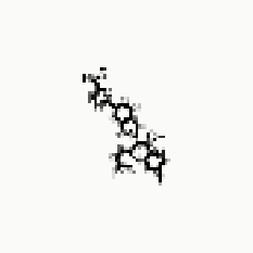 O[C@H](c1ccc(F)cn1)[C@H](c1ccc(F)cn1)N1Cc2ccc(-c3nnc(C(F)F)o3)cc2C1